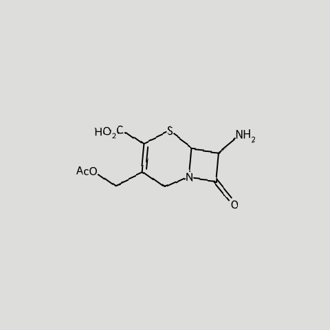 CC(=O)OCC1=C(C(=O)O)SC2C(N)C(=O)N2C1